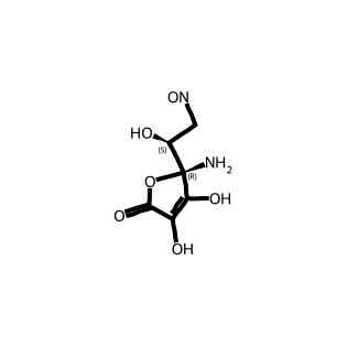 N[C@]1([C@@H](O)CN=O)OC(=O)C(O)=C1O